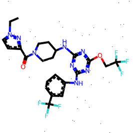 CCn1ccc(C(=O)N2CCC(Nc3nc(Nc4cccc(C(F)(F)F)c4)nc(OCC(F)(F)F)n3)CC2)n1